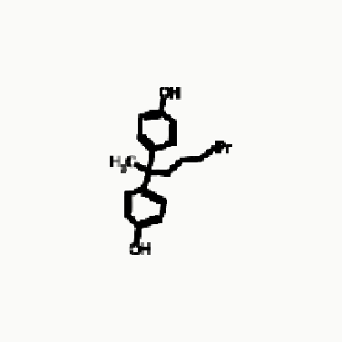 CC(C)CCCC(C)(c1ccc(O)cc1)c1ccc(O)cc1